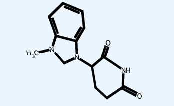 CN1CN(C2CCC(=O)NC2=O)c2ccccc21